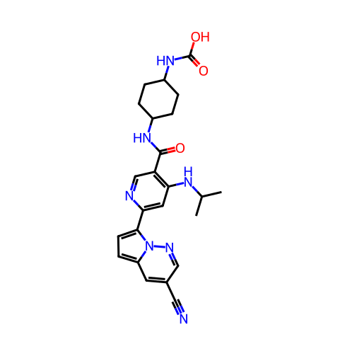 CC(C)Nc1cc(-c2ccc3cc(C#N)cnn23)ncc1C(=O)NC1CCC(NC(=O)O)CC1